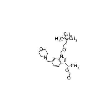 CC(OC=O)c1cn(COCC[Si](C)(C)C)c2cc(CN3CCOCC3)ccc12